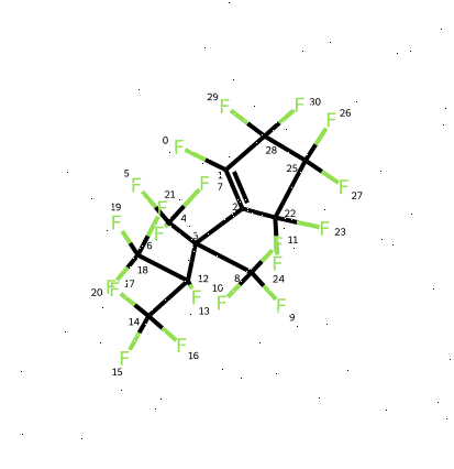 FC1=C(C(C(F)(F)F)(C(F)(F)F)C(F)(C(F)(F)F)C(F)(F)F)C(F)(F)C(F)(F)C1(F)F